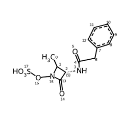 CC1[C@H](NC(=O)Cc2ccccc2)C(=O)N1OS(=O)(=O)O